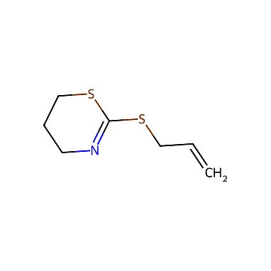 C=CCSC1=NCCCS1